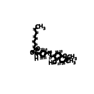 CCCCCCCCS(=O)(=O)Nc1ccc(N=Cc2ccc3c(c2O)C=CC(C)(C)O3)cc1